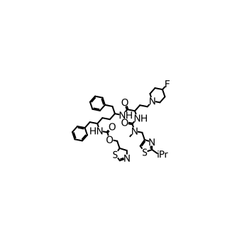 CC(C)c1nc(CN(C)C(=O)NC(CCN2CCC(F)CC2)C(=O)NC(CCC(Cc2ccccc2)NC(=O)OCC2CN=CS2)Cc2ccccc2)cs1